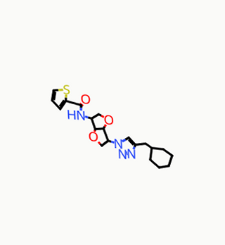 O=C(NC1COC2C1OCC2n1cc(CC2CCCCC2)nn1)c1cccs1